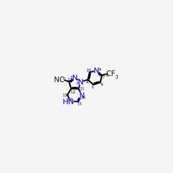 N#Cc1nn(-c2ccc(C(F)(F)F)nc2)c2c1CNC=N2